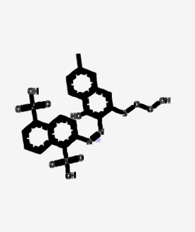 Cc1ccc2c(O)c(/N=N\c3ccc4c(S(=O)(=O)O)cccc4c3S(=O)(=O)O)c(SOOO)cc2c1